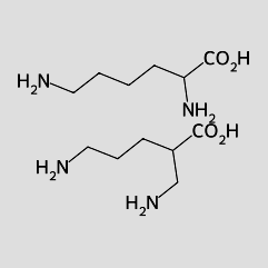 NCCCC(CN)C(=O)O.NCCCCC(N)C(=O)O